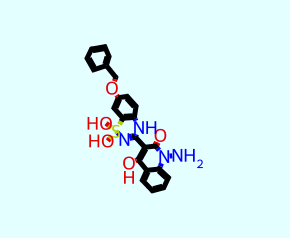 Nn1c(=O)c(C2=NS(O)(O)c3cc(OCc4ccccc4)ccc3N2)c(O)c2ccccc21